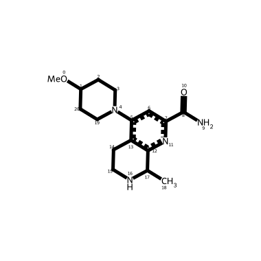 COC1CCN(c2cc(C(N)=O)nc3c2CCNC3C)CC1